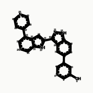 Oc1cncc(-c2ccc3[nH]nc(-c4cc5c(-c6ccncc6)cncc5[nH]4)c3c2)c1